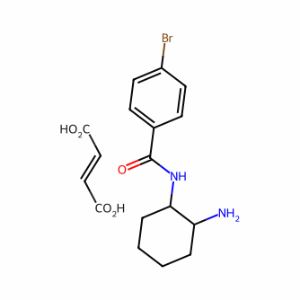 NC1CCCCC1NC(=O)c1ccc(Br)cc1.O=C(O)C=CC(=O)O